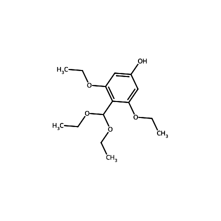 CCOc1cc(O)cc(OCC)c1C(OCC)OCC